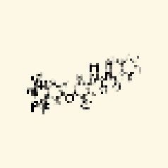 O=C(NC(=O)c1ccccc1Cl)Nc1ccc(Oc2ccc([N+](=O)[O-])c(C(F)(F)F)c2)c(Cl)c1